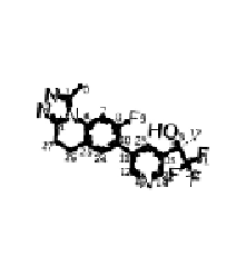 Cc1nnc2n1-c1cc(F)c(-c3cncc([C@@](C)(O)C(F)(F)F)c3)cc1CC2